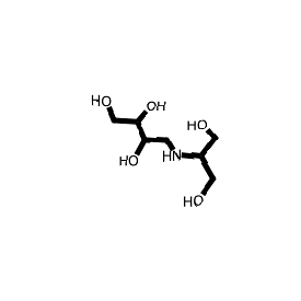 OCC(CO)NCC(O)C(O)CO